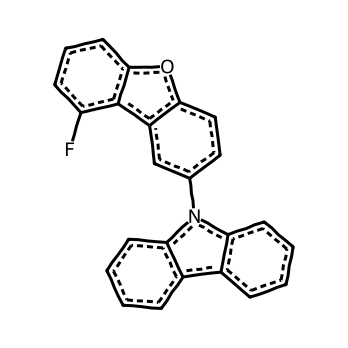 Fc1cccc2oc3ccc(-n4c5ccccc5c5ccccc54)cc3c12